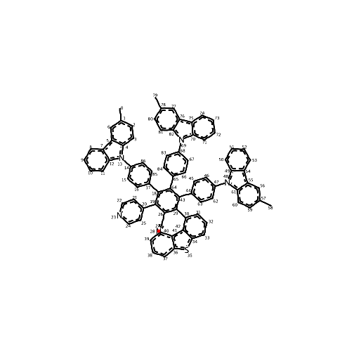 Cc1ccc2c(c1)c1ccccc1n2-c1ccc(-c2c(-c3ccncc3)c(C#N)c(-c3cccc4sc5ccccc5c34)c(-c3ccc(-n4c5ccccc5c5cc(C)ccc54)cc3)c2-c2ccc(-n3c4ccccc4c4cc(C)ccc43)cc2)cc1